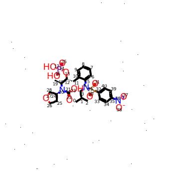 CC(C)CN(c1ccccc1C[C@@H](OP(=O)(O)O)[C@H](C)N(C(=O)O)[C@H]1CCOC1)S(=O)(=O)c1ccc([N+](=O)[O-])cc1